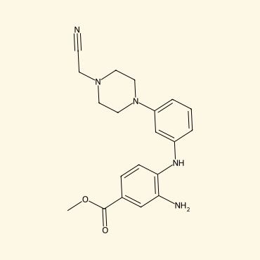 COC(=O)c1ccc(Nc2cccc(N3CCN(CC#N)CC3)c2)c(N)c1